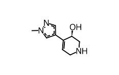 Cn1cc(C2=CCNC[C@@H]2O)cn1